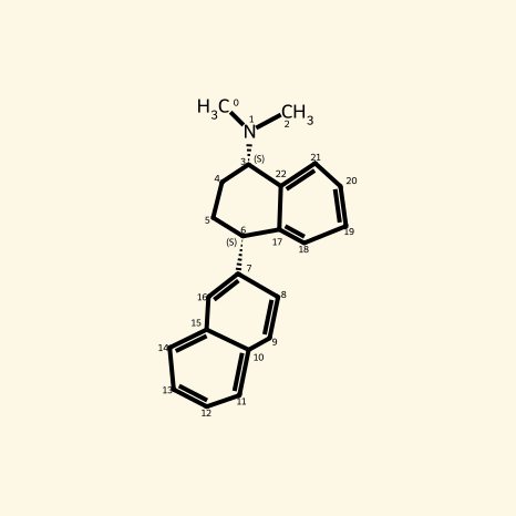 CN(C)[C@H]1CC[C@@H](c2ccc3ccccc3c2)c2ccccc21